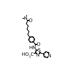 CN(C)C(=O)CCCCCc1ccc(C(=O)Nc2sc(-c3ccncc3)nc2C(=O)O)cc1